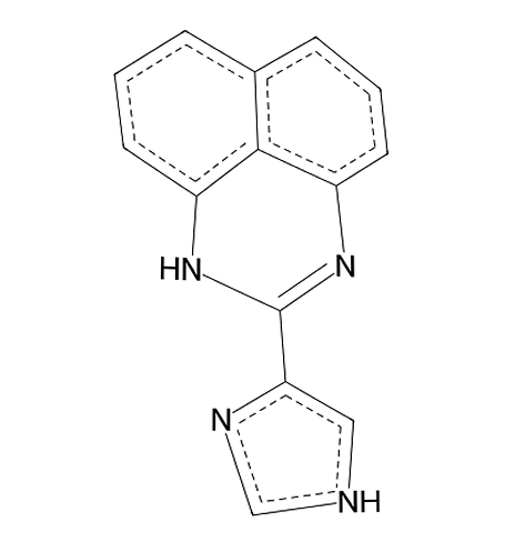 c1cc2c3c(cccc3c1)NC(c1c[nH]cn1)=N2